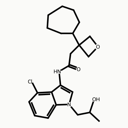 CC(O)Cn1cc(NC(=O)CC2(C3CCCCCC3)COC2)c2c(Cl)cccc21